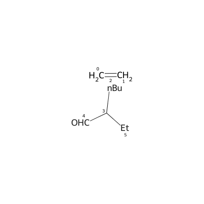 C=C.CCCCC(C=O)CC